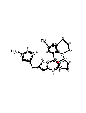 Cn1cc(Cc2cc3nccc(-c4cc(Cl)cc5c4N([C@@H]4CCNC4)CCC5)c3s2)nn1